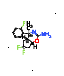 C[C@]1(c2ccccc2F)N=C(N)O[C@@H]2CC(F)(F)C[C@@H]21